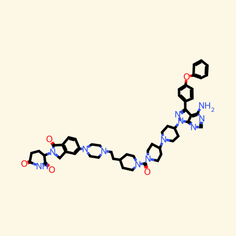 Nc1ncnc2c1c(-c1ccc(Oc3ccccc3)cc1)nn2C1CCN(C2CCN(C(=O)N3CCC(CCN4CCN(c5ccc6c(c5)CN(C5CCC(=O)NC5=O)C6=O)CC4)CC3)CC2)CC1